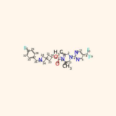 C[C@@H]1CN(c2ncc(C(F)F)cn2)C[C@H](C)N1C(=O)OC1CC2(C1)CN(Cc1ccc(F)cc1)C2